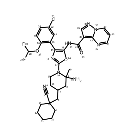 CC1(N)CC(CC2(C#N)CCCCC2)CCN1c1nc(-c2cc(Cl)ccc2OC(F)F)c(NC(=O)c2cnn3cccnc23)s1